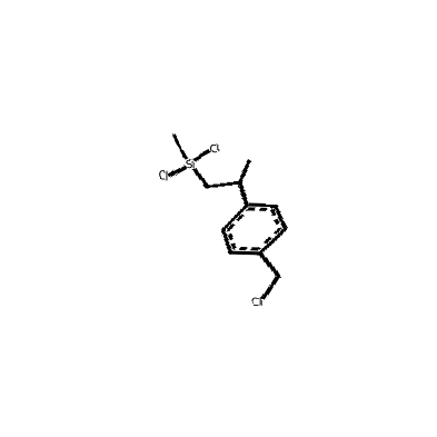 CC(C[Si](C)(Cl)Cl)c1ccc(CCl)cc1